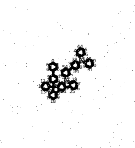 c1ccc(-c2ccc(C3(c4ccccc4)c4ccccc4-c4cc5c6ccccc6n(-c6cccc(-c7ccc(N(c8ccccc8)c8ccccc8)cc7)c6)c5cc43)cc2)cc1